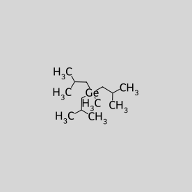 CC(C)[CH2][Ge]([CH3])([CH2]C(C)C)[CH2]C(C)C